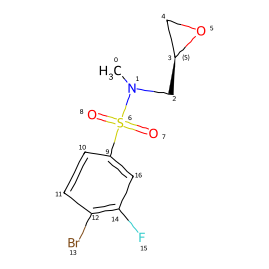 CN(C[C@H]1CO1)S(=O)(=O)c1ccc(Br)c(F)c1